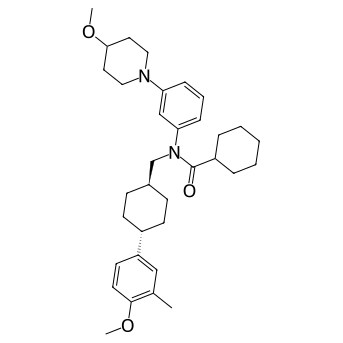 COc1ccc([C@H]2CC[C@H](CN(C(=O)C3CCCCC3)c3cccc(N4CCC(OC)CC4)c3)CC2)cc1C